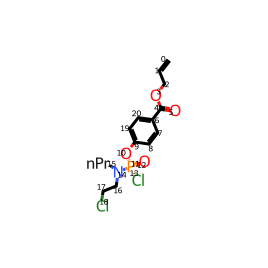 C=CCOC(=O)c1ccc(OP(=O)(Cl)N(CCC)CCCl)cc1